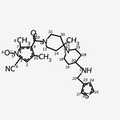 Cc1cc(C#N)[n+]([O-])c(C)c1C(=O)N1CCC(C)(N2CCC(NCc3ccsc3)CC2)CC1